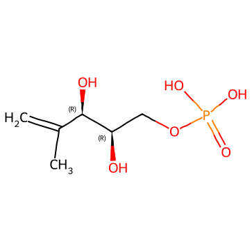 C=C(C)[C@@H](O)[C@H](O)COP(=O)(O)O